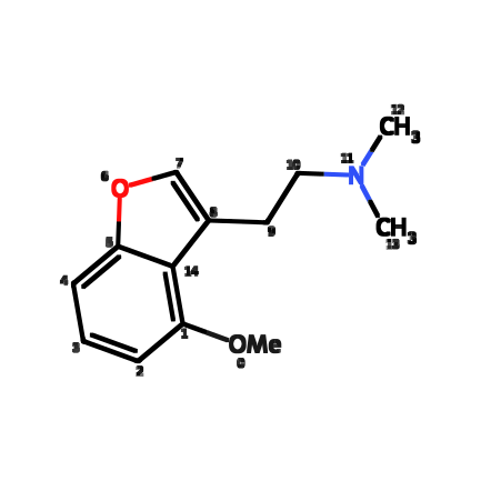 COc1cccc2occ(CCN(C)C)c12